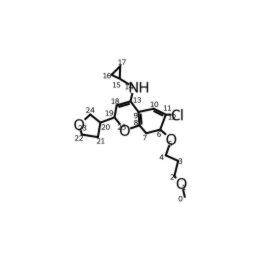 COCCCOC1CC2=C(C=C1Cl)C(NC1CC1)=CC(C1CCOC1)O2